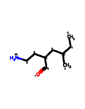 CCC(C)CC(C=O)CCN